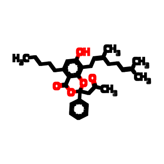 CCCCCc1cc(O)c(CC=C(C)CCC=C(C)C)c2c1C(=O)OC(CC(C)=O)(c1ccccc1)O2